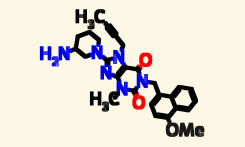 CC#CCn1c(N2CCCC(N)C2)nc2c1c(=O)n(Cc1ccc(OC)c3ccccc13)c(=O)n2C